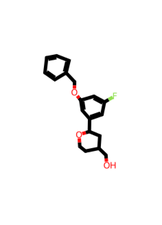 OCC1CCOC(c2cc(F)cc(OCc3ccccc3)c2)C1